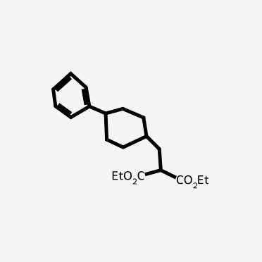 CCOC(=O)C(CC1CCC(c2ccccc2)CC1)C(=O)OCC